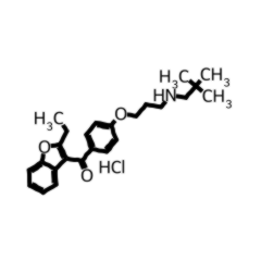 CCc1oc2ccccc2c1C(=O)c1ccc(OCCCNCC(C)(C)C)cc1.Cl